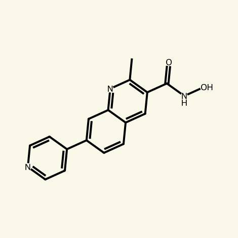 Cc1nc2cc(-c3ccncc3)ccc2cc1C(=O)NO